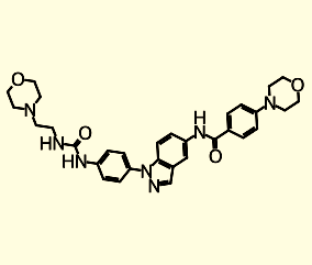 O=C(NCCN1CCOCC1)Nc1ccc(-n2ncc3cc(NC(=O)c4ccc(N5CCOCC5)cc4)ccc32)cc1